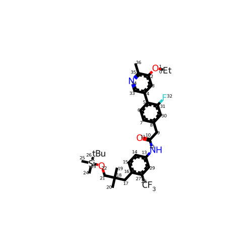 CCOc1cc(-c2ccc(CC(=O)Nc3ccc(CC(C)(C)CO[Si](C)(C)C(C)(C)C)c(C(F)(F)F)c3)cc2F)cnc1C